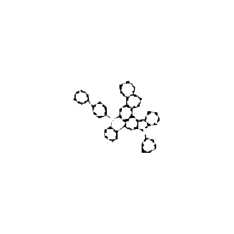 c1ccc(-c2ccc(N(c3ccc4ccc5ccccc5c4c3)c3ccccc3-c3ccc4c5ccccc5n(-c5ccccc5)c4c3)cc2)cc1